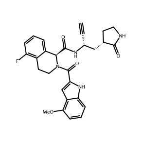 C#C[C@H](C[C@@H]1CCNC1=O)NC(=O)[C@@H]1c2cccc(F)c2CCN1C(=O)c1cc2c(OC)cccc2[nH]1